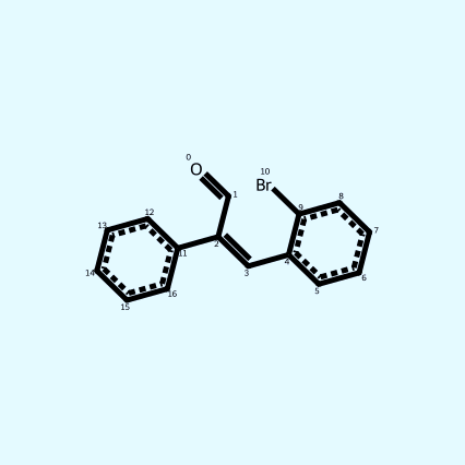 O=CC(=Cc1ccccc1Br)c1ccccc1